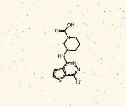 O=C(O)N1CCCC(Nc2nnc(Cl)c3sccc23)C1